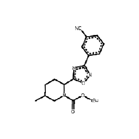 CC1CCC(c2nc(-c3cccc(C#N)c3)no2)N(C(=O)OC(C)(C)C)C1